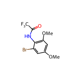 COc1cc(Br)c(NC(=O)C(F)(F)F)c(OC)c1